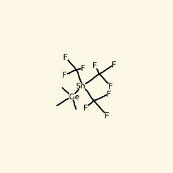 [CH3][Ge]([CH3])([CH3])[Sn]([C](F)(F)F)([C](F)(F)F)[C](F)(F)F